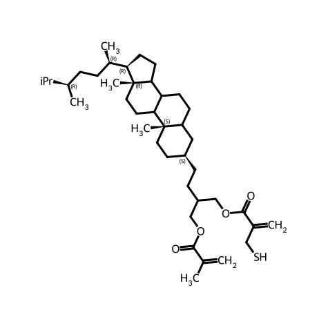 C=C(C)C(=O)OCC(CC[C@H]1CC[C@@]2(C)C(CCC3C2CC[C@@]2(C)C3CC[C@@H]2[C@H](C)CC[C@@H](C)C(C)C)C1)COC(=O)C(=C)CS